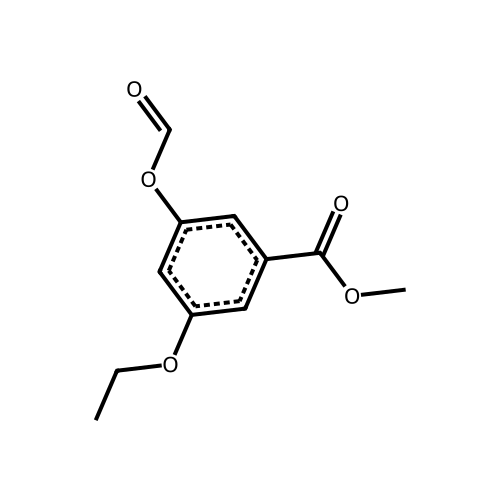 CCOc1cc(OC=O)cc(C(=O)OC)c1